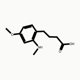 CNc1cc(OC)ccc1CCCC(=O)O